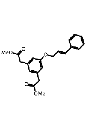 COC(=O)Cc1cc(CC(=O)OC)cc(OC/C=C/c2ccccc2)c1